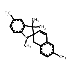 Cc1ccc2c(c1)C=CC1(C2)N(C)c2ccc(C(F)(F)F)cc2C1(C)C